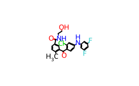 Cc1ccc(C(=O)NCCO)cc1C(=O)c1ccc(Nc2cc(F)cc(F)c2)cc1Cl